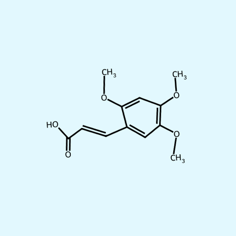 COc1cc(OC)c(OC)cc1C=CC(=O)O